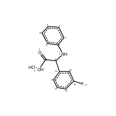 Cl.O=C(O)C(Nc1ccccc1)c1cccc(F)c1